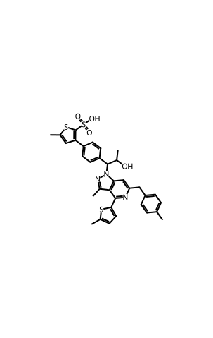 Cc1ccc(Cc2cc3c(c(C)nn3C(c3ccc(-c4cc(C)sc4S(=O)(=O)O)cc3)C(C)O)c(-c3ccc(C)s3)n2)cc1